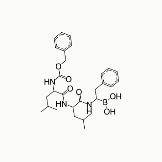 CC(C)CC(NC(=O)OCc1ccccc1)C(=O)NC(CC(C)C)C(=O)NC(Cc1ccccc1)B(O)O